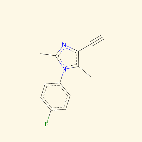 C#Cc1nc(C)n(-c2ccc(F)cc2)c1C